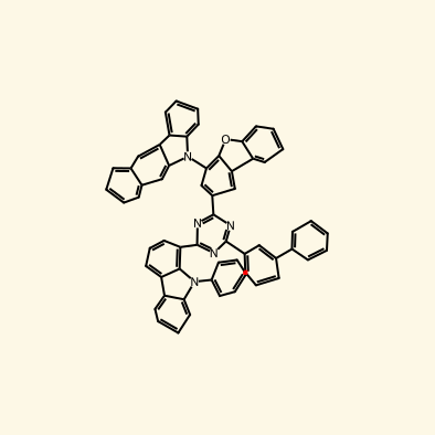 c1ccc(-c2cccc(-c3nc(-c4cc(-n5c6ccccc6c6cc7ccccc7cc65)c5oc6ccccc6c5c4)nc(-c4cccc5c6ccccc6n(-c6ccccc6)c45)n3)c2)cc1